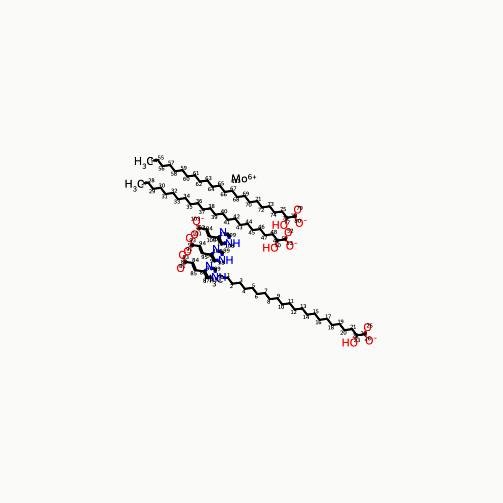 CCCCCCCCCCCCCCCCCCCCCCC(O)C(=O)[O-].CCCCCCCCCCCCCCCCCCCCCCC(O)C(=O)[O-].CCCCCCCCCCCCCCCCCCCCCCC(O)C(=O)[O-].O=C([O-])C=Cc1c[nH]cn1.O=C([O-])C=Cc1c[nH]cn1.O=C([O-])C=Cc1c[nH]cn1.[Mo+6]